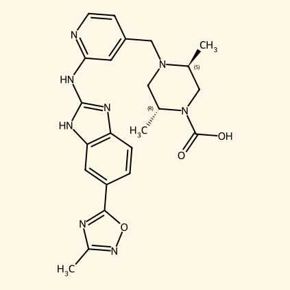 Cc1noc(-c2ccc3nc(Nc4cc(CN5C[C@@H](C)N(C(=O)O)C[C@@H]5C)ccn4)[nH]c3c2)n1